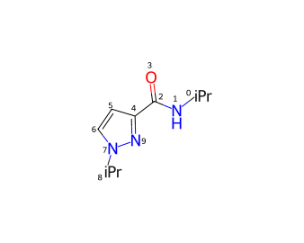 CC(C)NC(=O)c1ccn(C(C)C)n1